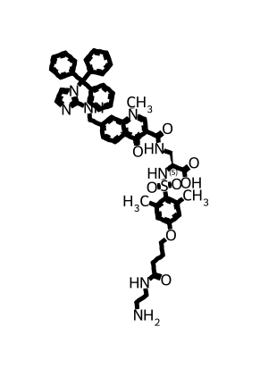 Cc1cc(OCCCC(=O)NCCN)cc(C)c1S(=O)(=O)N[C@@H](CNC(=O)c1cn(C)c2cc(CNc3nccn3C(c3ccccc3)(c3ccccc3)c3ccccc3)ccc2c1=O)C(=O)O